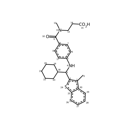 Cc1c(C(Nc2ccc(C(=O)N(C)CCC(=O)O)cc2)C2CCCCC2)sc2ncccc12